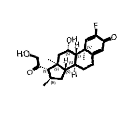 C[C@@H]1C[C@H]2[C@@H]3CCC4=CC(=O)C(F)=C[C@]4(C)[C@H]3[C@@H](O)C[C@]2(C)[C@H]1C(=O)CO